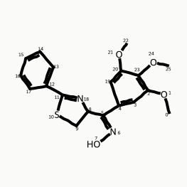 COc1cc(C(=NO)C2CSC(c3ccccc3)=N2)cc(OC)c1OC